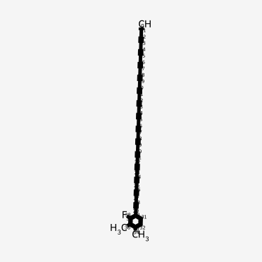 C#CC#CC#CC#CC#CC#CC#CC#CC#CC#CC#CC#CC#CC#CC#Cc1ccc(C)c(C)c1F